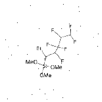 CCC(C(F)C(F)(F)C(F)C(F)F)[Si](OC)(OC)OC